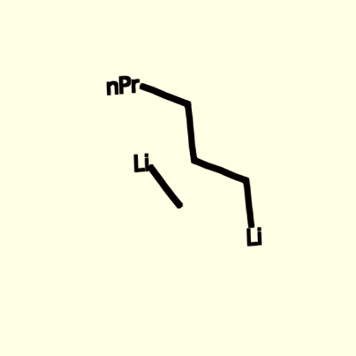 [Li][CH2]CCCCC.[Li][CH3]